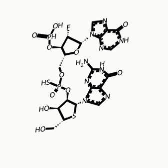 Nc1nc2c(ncn2[C@@H]2S[C@H](CO)[C@@H](O)[C@H]2OP(=O)(S)OC[C@H]2O[C@@H](n3cnc4c(=O)[nH]cnc43)[C@@H](F)[C@@H]2O[PH](=O)O)c(=O)[nH]1